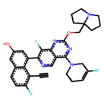 C#Cc1c(F)ccc2cc(O)cc(-c3ncc4c(N5CCC=C(F)C5)nc(OCC56CCCN5CCC6)nc4c3F)c12